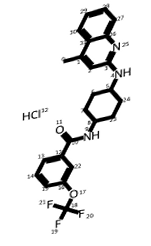 Cc1cc(NC2CCC(NC(=O)c3cccc(OC(F)(F)F)c3)CC2)nc2ccccc12.Cl